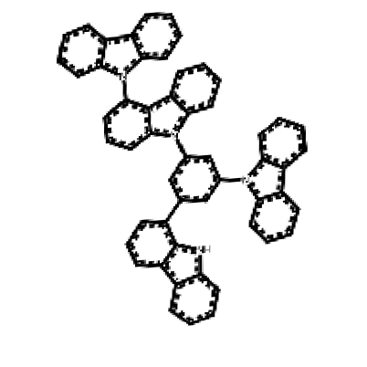 c1ccc2c(c1)[nH]c1c(-c3cc(-n4c5ccccc5c5ccccc54)cc(-n4c5ccccc5c5c(-n6c7ccccc7c7ccccc76)cccc54)c3)cccc12